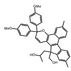 COc1ccc(C2(c3ccc(OC)cc3)C=Cc3c4c(c5ccc(C)cc5c3O2)-c2ccc(C)cc2C4(CO)CC(C)O)cc1